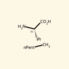 CC(C)[C@H](N)C(=O)O.CCCCCC